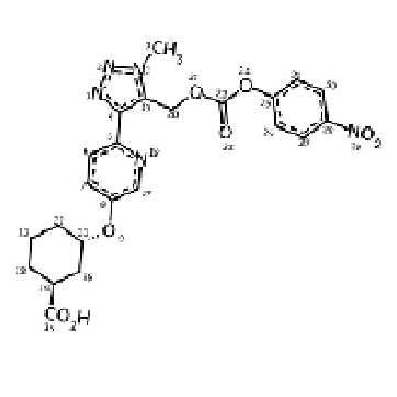 Cn1nnc(-c2ccc(O[C@H]3CCC[C@H](C(=O)O)C3)cn2)c1COC(=O)Oc1ccc([N+](=O)[O-])cc1